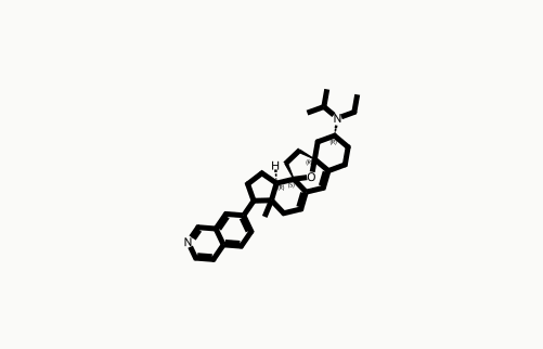 CCN(C(C)C)[C@@H]1CCC2=CC3=CCC4(C)C(c5ccc6ccncc6c5)CC[C@H]4[C@@]34CC[C@]2(C1)O4